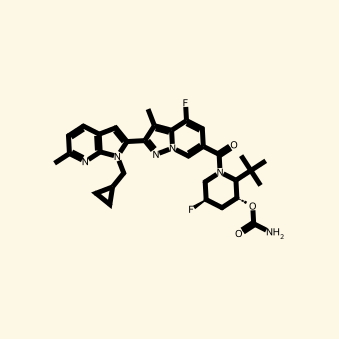 Cc1ccc2cc(-c3nn4cc(C(=O)N5C[C@H](F)C[C@@H](OC(N)=O)C5C(C)(C)C)cc(F)c4c3C)n(CC3CC3)c2n1